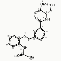 COC(=O)[C@H](CO)NC(=O)c1cccc(CSc2ccccc2NC(=O)C(C)(C)C)c1